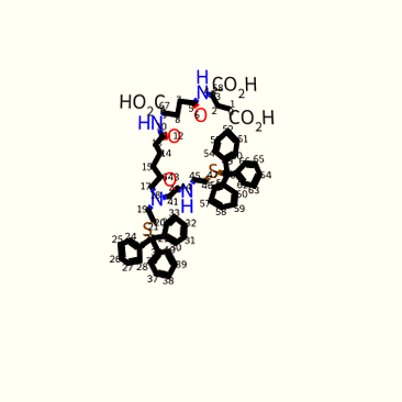 O=C(O)CCC(NC(=O)CCC(NC(=O)CCCCCN(CCSC(c1ccccc1)(c1ccccc1)c1ccccc1)CC(=O)NCCSC(c1ccccc1)(c1ccccc1)c1ccccc1)C(=O)O)C(=O)O